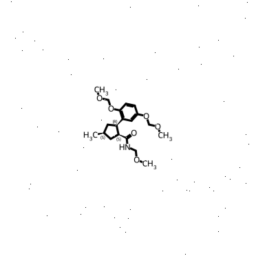 COCNC(=O)[C@H]1C[C@@H](C)C[C@H]1c1cc(OCOC)ccc1OCOC